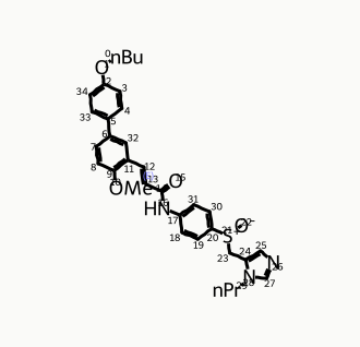 CCCCOc1ccc(-c2ccc(OC)c(/C=C/C(=O)Nc3ccc([S+]([O-])Cc4cncn4CCC)cc3)c2)cc1